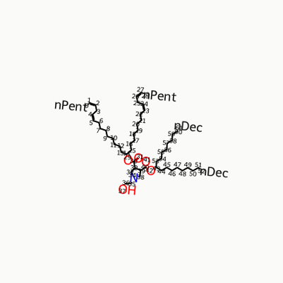 CCCCC/C=C\C/C=C\CCCCCCCCC(CCCCCCCC/C=C\C/C=C\CCCCC)OC(=O)C1CN(CCO)CC1C(=O)OC(CCCCCCCCCCCCCCCCCC)CCCCCCCCCCCCCCCCCC